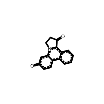 O=C1CCn2c3cc(=O)ccc-3c3ccccc3c21